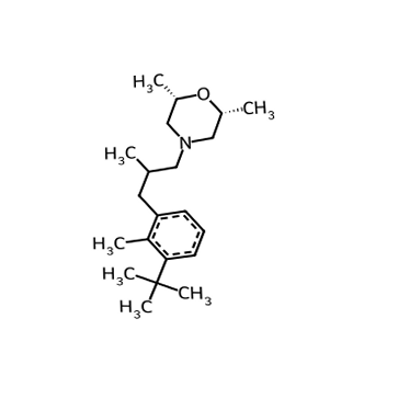 Cc1c(CC(C)CN2C[C@@H](C)O[C@@H](C)C2)cccc1C(C)(C)C